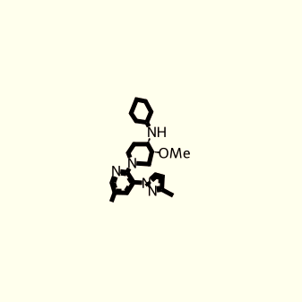 CO[C@@H]1CN(c2ncc(C)cc2-n2ccc(C)n2)CC[C@@H]1NC1CCCCC1